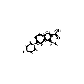 Cc1c(C(=O)O)oc2ccc(N3CCNCC3)cc12